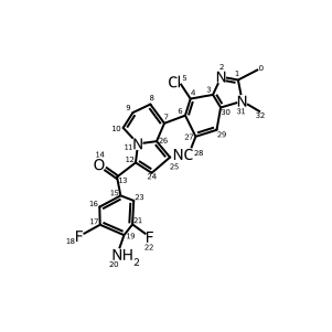 Cc1nc2c(Cl)c(-c3cccn4c(C(=O)c5cc(F)c(N)c(F)c5)ccc34)c(C#N)cc2n1C